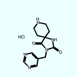 Cl.O=C1NC2(CCNCC2)C(=O)N1Cc1cncnc1